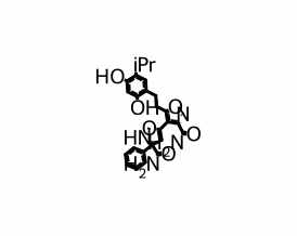 CC(C)c1cc(CCc2onc(C(N)=O)c2C2=CC(C(N)=O)(c3ccccc3)NO2)c(O)cc1O